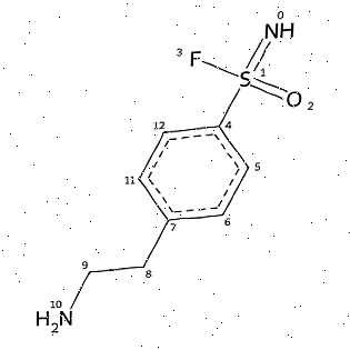 N=S(=O)(F)c1ccc(CCN)cc1